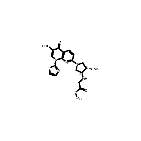 CO[C@H]1CN(c2ccc3c(=O)c(C=O)cn(-c4nccs4)c3n2)C[C@@H]1NCC(=O)OC(C)(C)C